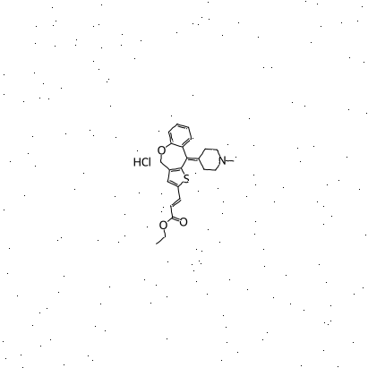 CCOC(=O)C=Cc1cc2c(s1)C(=C1CCN(C)CC1)c1ccccc1OC2.Cl